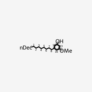 CCCCCCCCCCCCCCCCCCc1cc(O)cc(OC)c1